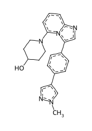 Cn1cc(-c2ccc(-c3cnc4cccc(N5CCC(O)CC5)n34)cc2)cn1